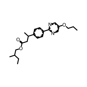 CCCOc1cnc(-c2ccc(C(C)CC(=O)OCC(C)CC)cc2)nc1